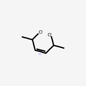 CC(Cl)/C=C\C(C)Cl